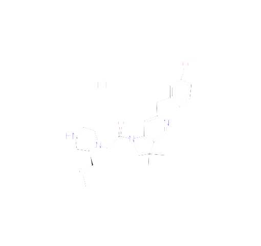 COC[C@H]1CN[C@H](C)CN1CC(=O)N1CC(C)(C)c2cnc(Cc3cccc(OC)c3)cc21.Cl